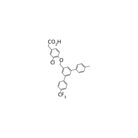 Cc1ccc(-c2cc(COc3ccc(CC(=O)O)cc3Cl)cc(-c3ccc(C(F)(F)F)cc3)c2)cc1